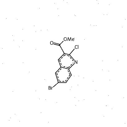 COC(=O)c1cc2cc(Br)ccc2nc1Cl